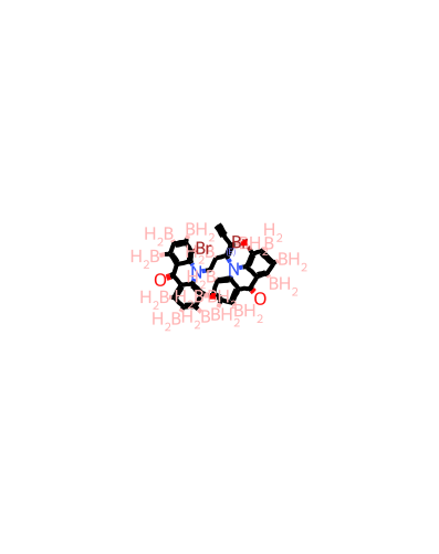 B/C(C#C)=C(/C(B)Cn1c2c(B)c(B)c(B)c(B)c2c(=O)c2c(B)c(B)c(B)c(Br)c21)n1c2c(B)c(B)c(B)c(B)c2c(=O)c2c(B)c(B)c(B)c(Br)c21